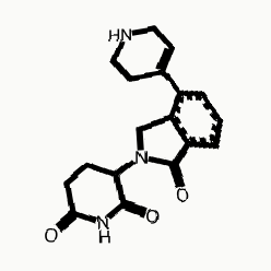 O=C1CCC(N2Cc3c(cccc3C3=CCNCC3)C2=O)C(=O)N1